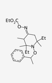 CCOC(=O)O/N=C1/CC(C)(CC)N(OC(C)c2ccccc2)C(C)(CC)C1C